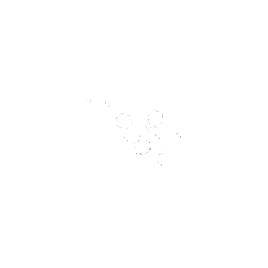 COc1cc2c(cc1Nc1nnc(C(N)=O)c(Nc3ccccc3CC#N)n1)C(C)N(C)CC2